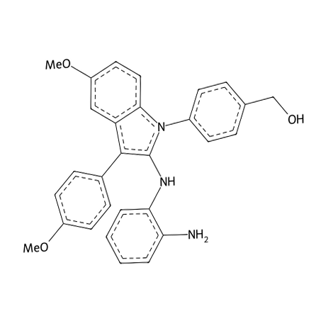 COc1ccc(-c2c(Nc3ccccc3N)n(-c3ccc(CO)cc3)c3ccc(OC)cc23)cc1